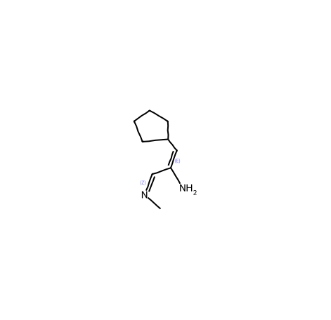 C/N=C\C(N)=C/C1CCCC1